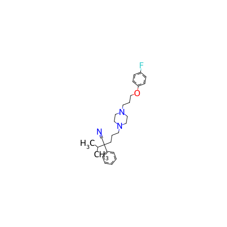 CC(C)C(C#N)(CCCN1CCN(CCCOc2ccc(F)cc2)CC1)c1ccccc1